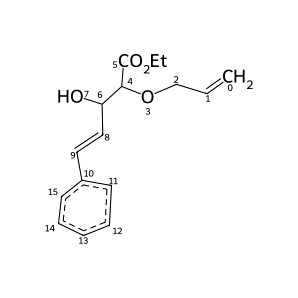 C=CCOC(C(=O)OCC)C(O)C=Cc1ccccc1